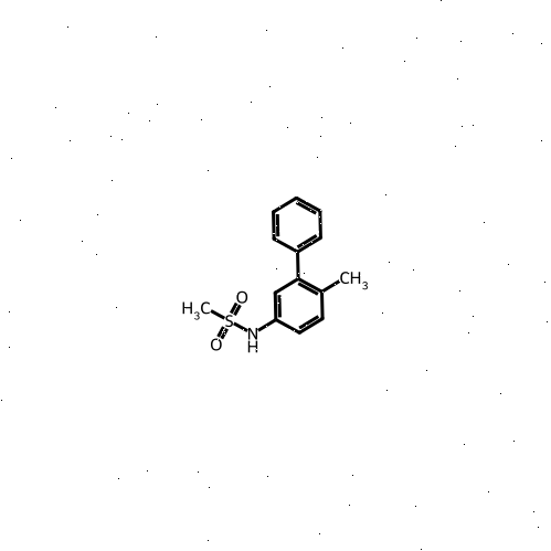 Cc1ccc(NS(C)(=O)=O)cc1-c1ccccc1